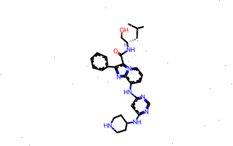 CC(C)C[C@@H](CO)NC(=O)c1c(-c2ccccc2)nc2c(Nc3cc(NC4CCNCC4)ncn3)cccn12